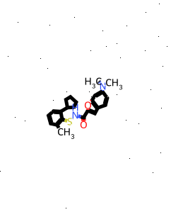 Cc1cccc(C2CCCC2)c1SNC(=O)c1cc2ccc(N(C)C)cc2o1